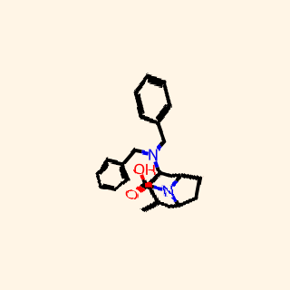 CC1CC(N(Cc2ccccc2)Cc2ccccc2)C2CCC1N2C(=O)O